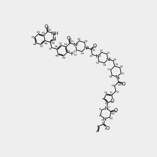 C=CC(=O)N1CCN(c2ccc(CCC(=O)N3CCC(CN4CCN(CC(=O)N5CCN(C(=O)c6cc(Cc7n[nH]c(=O)c8ccccc78)ccc6F)CC5)CC4)CC3)o2)C(=O)C1